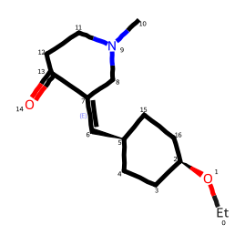 CCO[C@H]1CC[C@@H](/C=C2\CN(C)CCC2=O)CC1